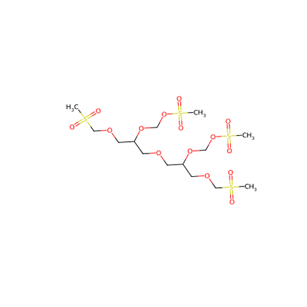 CS(=O)(=O)COCC(COCC(COCS(C)(=O)=O)OCOS(C)(=O)=O)OCOS(C)(=O)=O